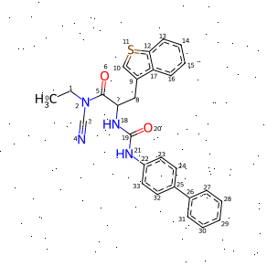 CCN(C#N)C(=O)C(Cc1csc2ccccc12)NC(=O)Nc1ccc(-c2ccccc2)cc1